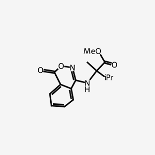 COC(=O)C(C)(Nc1noc(=O)c2ccccc12)C(C)C